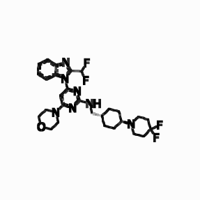 FC(F)c1nc2ccccc2n1-c1cc(N2CCOCC2)nc(NC[C@H]2CC[C@H](N3CCC(F)(F)CC3)CC2)n1